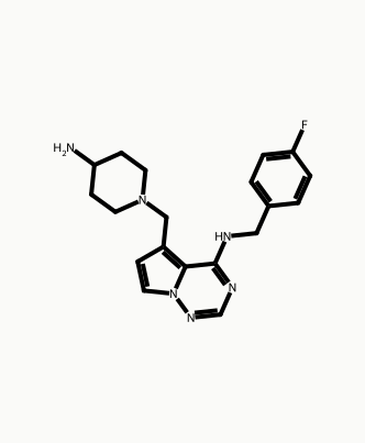 NC1CCN(Cc2ccn3ncnc(NCc4ccc(F)cc4)c23)CC1